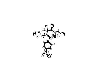 CC(C)CN1NC(c2ccc([S+](C)[O-])cc2)=C(CN)C(C)(C)C1=O